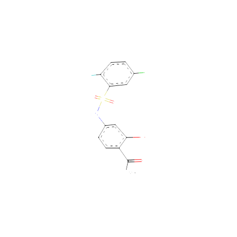 COC(=O)c1ccc(NS(=O)(=O)c2cc(Cl)ccc2F)cc1O